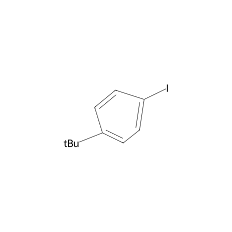 CC(C)(C)c1ccc(I)cc1